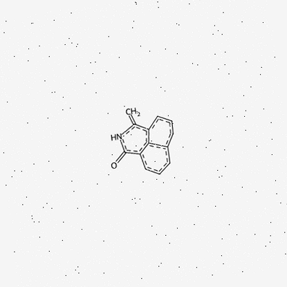 C=c1[nH]c(=O)c2cccc3cccc1c32